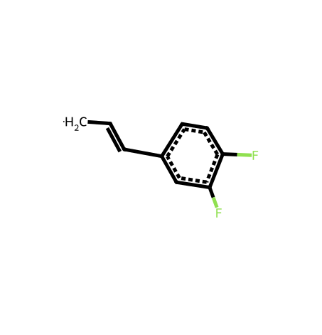 [CH2]C=Cc1ccc(F)c(F)c1